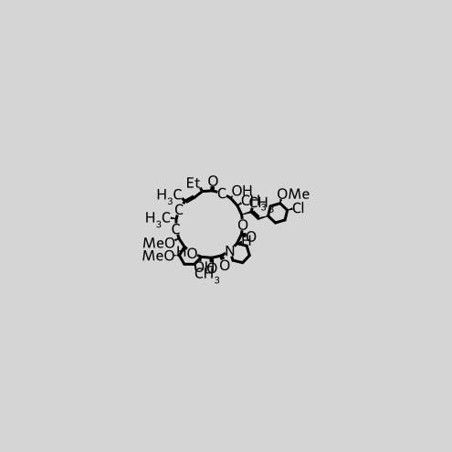 CCC1/C=C(\C)C[C@H](C)C[C@H](OC)[C@H]2O[C@@](O)(C(=O)C(=O)N3CCCC[C@H]3C(=O)O[C@H](/C(C)=C/[C@@H]3CC[C@H](Cl)[C@H](OC)C3)[C@H](C)[C@@H](O)CC1=O)[C@H](C)C[C@@H]2OC